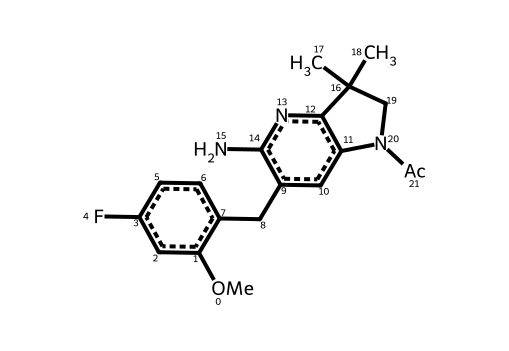 COc1cc(F)ccc1Cc1cc2c(nc1N)C(C)(C)CN2C(C)=O